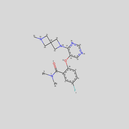 CC(C)N(C(=O)c1cc(F)ccc1Oc1cncnc1N1CC2(CN(C)C2)C1)C(C)C